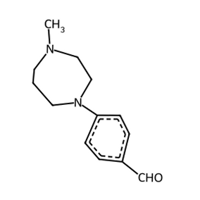 CN1CCCN(c2ccc(C=O)cc2)CC1